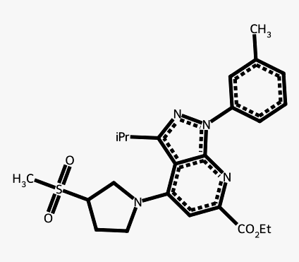 CCOC(=O)c1cc(N2CCC(S(C)(=O)=O)C2)c2c(C(C)C)nn(-c3cccc(C)c3)c2n1